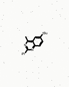 Cc1nc(C(C)C)nc2ccc(C(C)(C)C)cc12